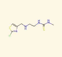 CNC(=S)NCCNCc1csc(Cl)n1